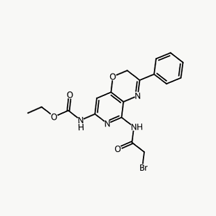 CCOC(=O)Nc1cc2c(c(NC(=O)CBr)n1)N=C(c1ccccc1)CO2